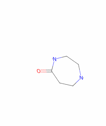 O=C1CC[N]CC[N]1